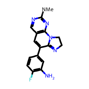 CNc1ncc2c(n1)N1CCN=C1C(c1ccc(F)c(N)c1)=C2